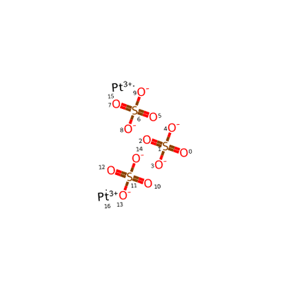 O=S(=O)([O-])[O-].O=S(=O)([O-])[O-].O=S(=O)([O-])[O-].[Pt+3].[Pt+3]